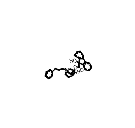 O=C(O[C@H]1C[N+]2(CCCc3ccccc3)CCC1CC2)C1(O)c2ccccc2-c2ccccc21